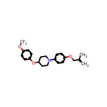 C=C(C)COc1ccc(N2CCC(Oc3ccc(OC(F)(F)F)cc3)CC2)cc1